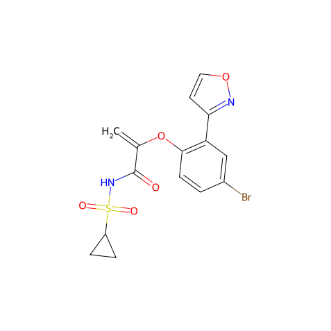 C=C(Oc1ccc(Br)cc1-c1ccon1)C(=O)NS(=O)(=O)C1CC1